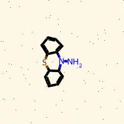 NN1c2ccccc2SC2C=CC=CC21